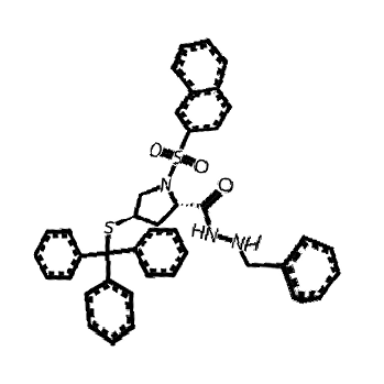 O=C(NNCc1ccccc1)[C@@H]1C[C@@H](SC(c2ccccc2)(c2ccccc2)c2ccccc2)CN1S(=O)(=O)c1ccc2ccccc2c1